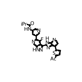 CC(=O)c1ccc(-c2ccnc3[nH]c(-c4n[nH]c5cnc(-c6cncc(NC(=O)C(C)C)c6)c(F)c45)nc23)s1